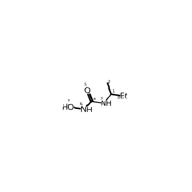 CCC(C)NC(=O)NO